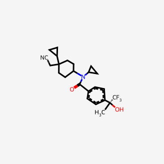 C[C@](O)(c1ccc(C(=O)N(C2CC2)C2CCC(CC#N)(C3CC3)CC2)cc1)C(F)(F)F